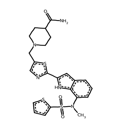 CN(c1cccc2cc(-c3ncc(CN4CCC(C(N)=O)CC4)s3)[nH]c12)S(=O)(=O)c1cccs1